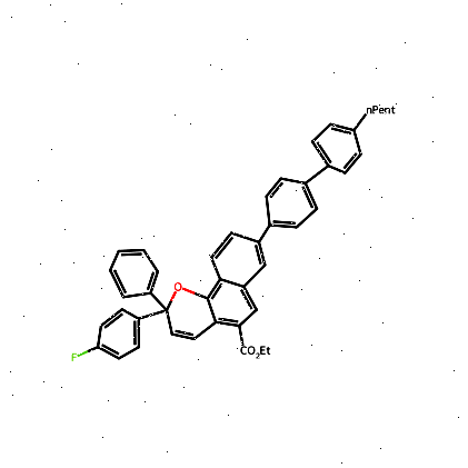 CCCCCc1ccc(-c2ccc(-c3ccc4c5c(c(C(=O)OCC)cc4c3)C=CC(c3ccccc3)(c3ccc(F)cc3)O5)cc2)cc1